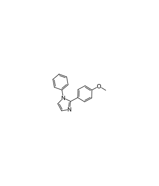 COc1ccc(-c2nccn2-c2ccccc2)cc1